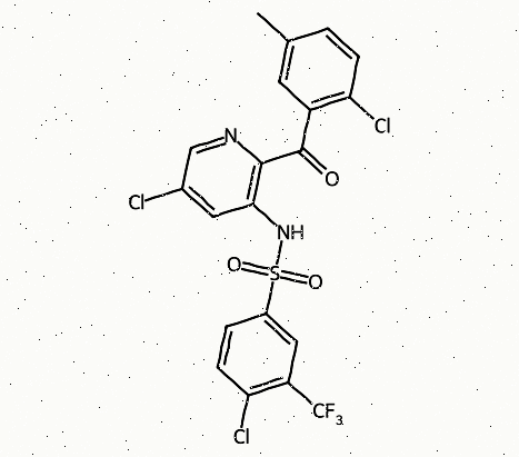 Cc1ccc(Cl)c(C(=O)c2ncc(Cl)cc2NS(=O)(=O)c2ccc(Cl)c(C(F)(F)F)c2)c1